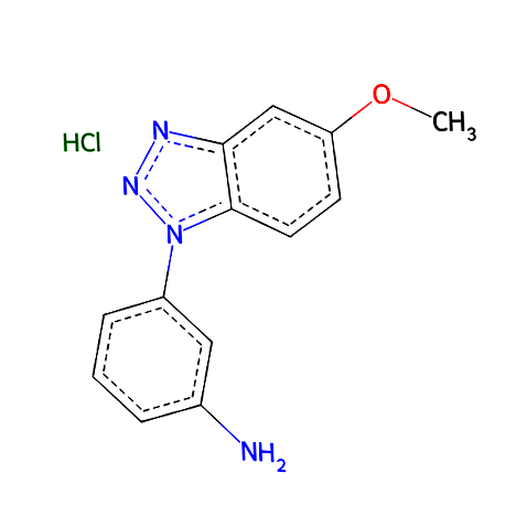 COc1ccc2c(c1)nnn2-c1cccc(N)c1.Cl